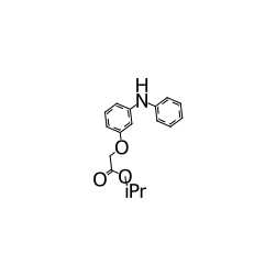 CC(C)OC(=O)COc1cccc(Nc2ccccc2)c1